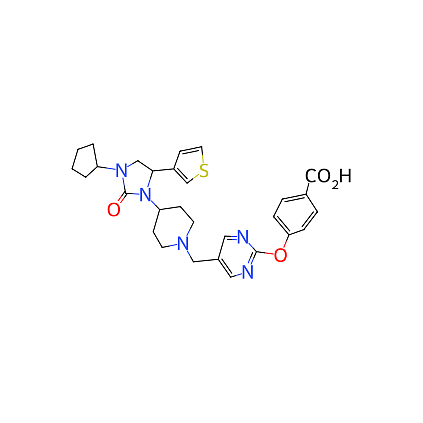 O=C(O)c1ccc(Oc2ncc(CN3CCC(N4C(=O)N(C5CCCC5)CC4c4ccsc4)CC3)cn2)cc1